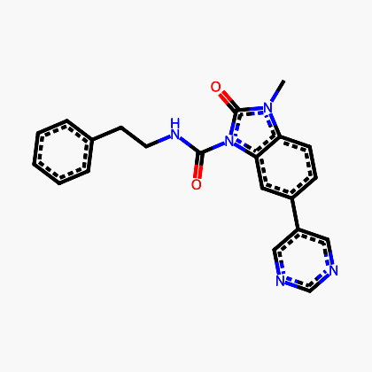 Cn1c(=O)n(C(=O)NCCc2ccccc2)c2cc(-c3cncnc3)ccc21